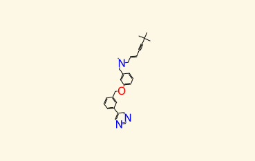 CN(C/C=C/C#CC(C)(C)C)Cc1cccc(OCc2cccc(-c3cncnc3)c2)c1